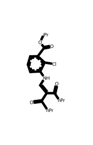 CCCC(=O)C(=CNc1cccc(C(=O)OC(C)C)c1Cl)C(=O)CCC